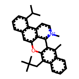 Cc1c2c(c(CC(C)(C)C)c3ccccc13)Oc1cc3cccc(C(C)C)c3c3cc[n+](C)c-2c13